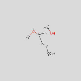 CCCCO.CCOC(C)CCC(=O)O